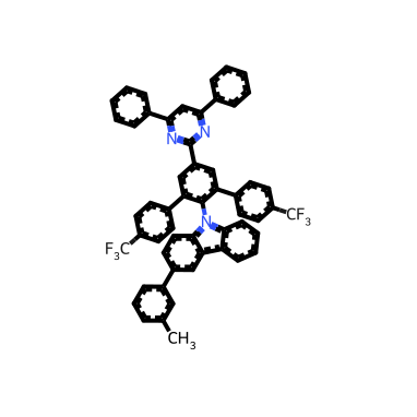 Cc1cccc(-c2ccc3c(c2)c2ccccc2n3-c2c(-c3ccc(C(F)(F)F)cc3)cc(-c3nc(-c4ccccc4)cc(-c4ccccc4)n3)cc2-c2ccc(C(F)(F)F)cc2)c1